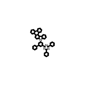 c1ccc(-c2cc(-c3nc(-c4ccccc4)nc(-c4ccccc4)n3)cc(-n3c4ccccc4c4c5c6ccccc6c6ccccc6c5ccc43)c2)cc1